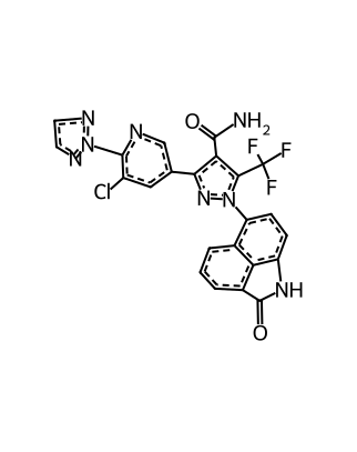 NC(=O)c1c(-c2cnc(-n3nccn3)c(Cl)c2)nn(-c2ccc3c4c(cccc24)C(=O)N3)c1C(F)(F)F